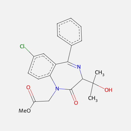 COC(=O)CN1C(=O)C(C(C)(C)O)N=C(c2ccccc2)c2cc(Cl)ccc21